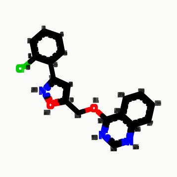 Clc1ccccc1-c1cc(COc2ncnc3ccccc23)on1